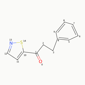 O=C(CCc1ccccc1)c1ccns1